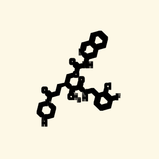 CN(C(=O)NCc1cccc(F)c1Cl)[C@@H](CCC(=O)N1CCNCC1)COC(=O)Nc1cc2ccccc2cn1